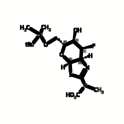 CN(C(=O)O)C1=N[C@@H]2[C@H](F)[C@H](O)[C@@H](CO[Si](C)(C)C(C)(C)C)O[C@@H]2S1